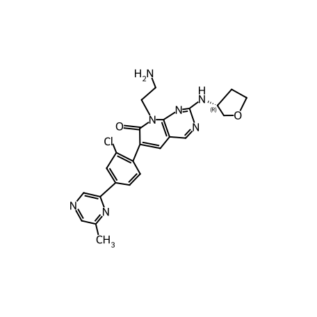 Cc1cncc(-c2ccc(-c3cc4cnc(N[C@@H]5CCOC5)nc4n(CCN)c3=O)c(Cl)c2)n1